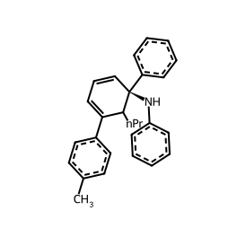 CCCC1C(c2ccc(C)cc2)=CC=C[C@]1(Nc1ccccc1)c1ccccc1